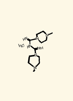 CN1CCN(C(=N)NC(=N)N2CCN(C)CC2)CC1.Cl